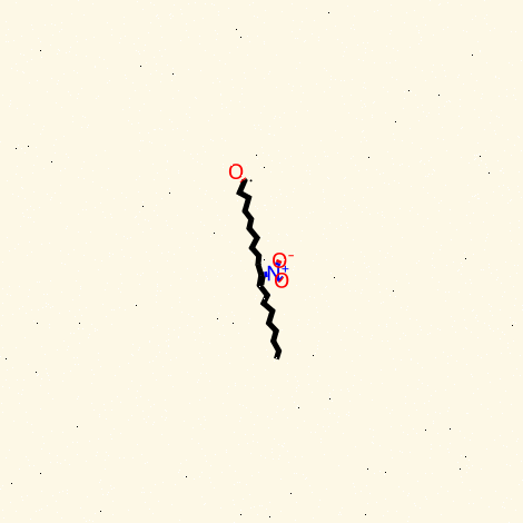 CCCCCCCC/C=C(/CCCCCCCCC[C]=O)[N+](=O)[O-]